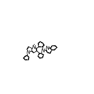 CN1C2=C(C=C3C1C=CN3c1ccccc1)c1ccccc1N(c1ccc3ccccc3n1)c1ccccc12